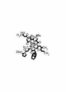 C=C/C=C\C(=C)CC(C(=O)N(C)C(CC1C2=C3CCC(=C1CC2)C3)C(=O)N[C@H](C)CC(=O)N1CCCC1C=O)N(C)C(=O)C(COC(C)(C)C)NC(=O)C(CC(C)C)N(C)C(=O)CN(C)C(=O)CC(C)O